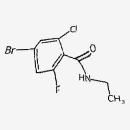 CCNC(=O)c1c(F)cc(Br)cc1Cl